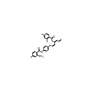 C=C/C=C(\C=C/Cc1ccc(OC(=O)c2ccc(C)cc2P)cc1)CC(=O)c1ccc(C)cc1F